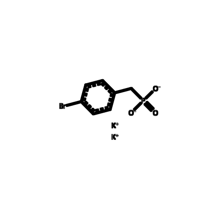 O=P([O-])([O-])Cc1ccc(Br)cc1.[K+].[K+]